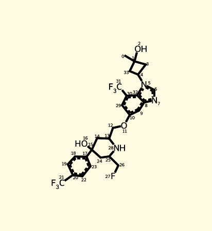 CC1(O)CC(n2cnc3cc(OCC4CC(O)(c5ccc(C(F)(F)F)cc5)CC(CF)N4)cc(C(F)(F)F)c32)C1